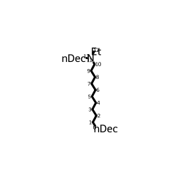 CCCCCCCCCCCCCCCCCCCCN(CC)CCCCCCCCCC